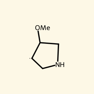 COC1[CH]CNC1